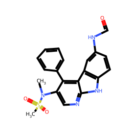 CN(c1cnc2[nH]c3ccc(NC=O)cc3c2c1-c1ccccc1)S(C)(=O)=O